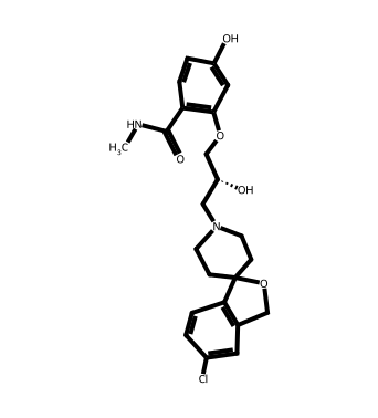 CNC(=O)c1ccc(O)cc1OC[C@H](O)CN1CCC2(CC1)OCc1cc(Cl)ccc12